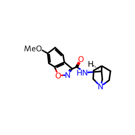 COc1ccc2c(C(=O)N[C@@H]3CN4CCC3CC4)noc2c1